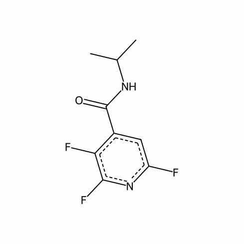 CC(C)NC(=O)c1cc(F)nc(F)c1F